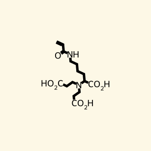 C=CC(=O)NCCCCC(C(=O)O)N(CCC(=O)O)CCC(=O)O